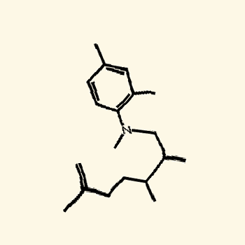 C=C(C)CCC(C)C(C)CN(C)c1ccc(C)cc1C